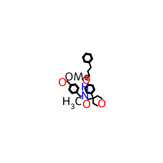 COC(=O)c1ccc(C(C)NC(=O)C2(c3ccc(OCCCc4ccccc4)cc3)CCOCC2)cc1